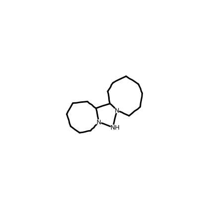 C1CCCC2C3CCCCCCN3NN2CCC1